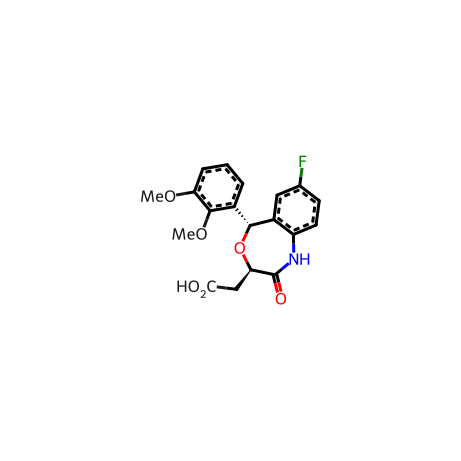 COc1cccc([C@H]2O[C@H](CC(=O)O)C(=O)Nc3ccc(F)cc32)c1OC